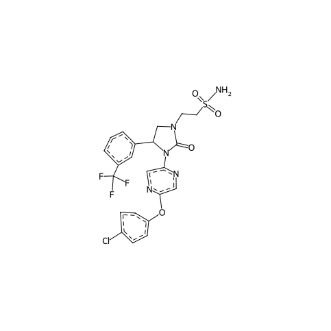 NS(=O)(=O)CCN1CC(c2cccc(C(F)(F)F)c2)N(c2cnc(Oc3ccc(Cl)cc3)cn2)C1=O